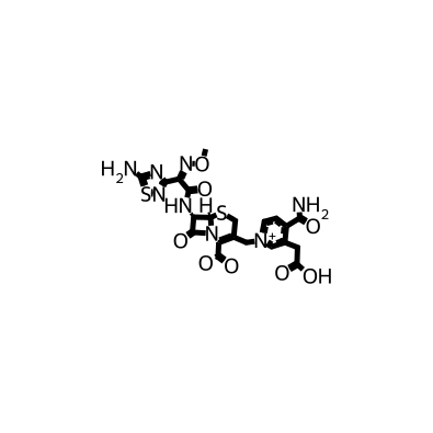 CO/N=C(\C(=O)N[C@@H]1C(=O)N2C(C(=O)[O-])=C(C[n+]3ccc(C(N)=O)c(CC(=O)O)c3)CS[C@H]12)c1nsc(N)n1